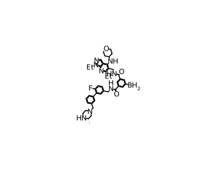 Bc1cc(C(=O)NCc2ccc(F)c(-c3cccc(CN4CCN[C@@H](C)C4)c3)c2)cc(C(=O)NCc2c(CC)nc3c(cnn3CC)c2NC2CCOCC2)c1